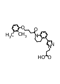 Cc1cccc(OCCCC(=O)N2CCCc3c(-c4cnn(CCC(=O)O)c4)cccc32)c1C